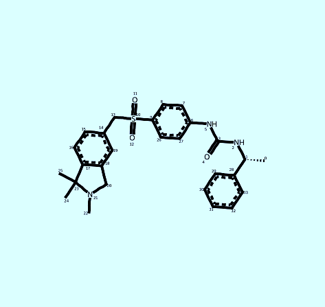 C[C@@H](NC(=O)Nc1ccc(S(=O)(=O)Cc2ccc3c(c2)CN(C)C3(C)C)cc1)c1ccccc1